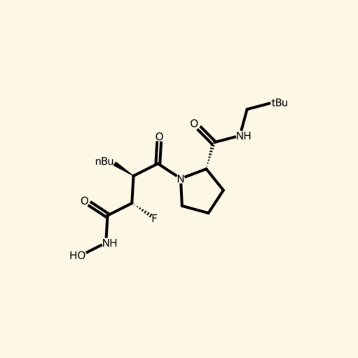 CCCC[C@@H](C(=O)N1CCC[C@H]1C(=O)NCC(C)(C)C)[C@H](F)C(=O)NO